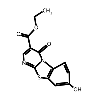 CCOC(=O)c1cnc2sc3cc(O)ccc3n2c1=O